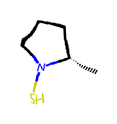 C[C@H]1CCCN1S